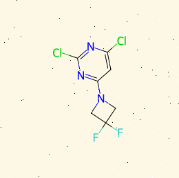 FC1(F)CN(c2cc(Cl)nc(Cl)n2)C1